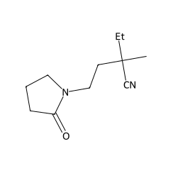 CCC(C)(C#N)CCN1CCCC1=O